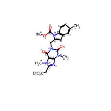 CCOC(=O)Cc1nc2c(c(=O)n(Cc3cc4cc(C)ccc4n3C(=O)OC(C)(C)C)c(=O)n2C)n1C